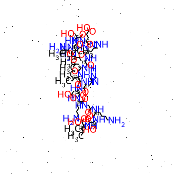 CC[C@H](C)[C@H](NC(=O)[C@H](CO)NC(=O)[C@H](CCCCN)NC(=O)CNC(=O)[C@H](CCCCN)NC(=O)[C@H](CC(=O)O)NC(=O)[C@H](Cc1c[nH]cn1)NC(=O)[C@@H](NC(=O)[C@H](CC(C)C)NC(=O)[C@H](CCC(N)=O)NC(=O)[C@H](Cc1c[nH]cn1)NC(=O)[C@H](CCC(=O)O)NC(=O)[C@H](CO)NC(=O)[C@@H](NC(=O)[C@H](C)N)C(C)C)[C@@H](C)CC)C(=O)O